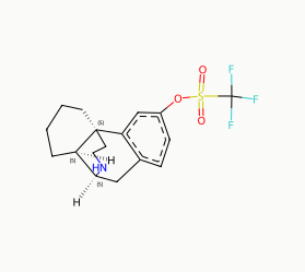 O=S(=O)(Oc1ccc2c(c1)[C@]13CCCC[C@@H]1[C@H](C2)NCC3)C(F)(F)F